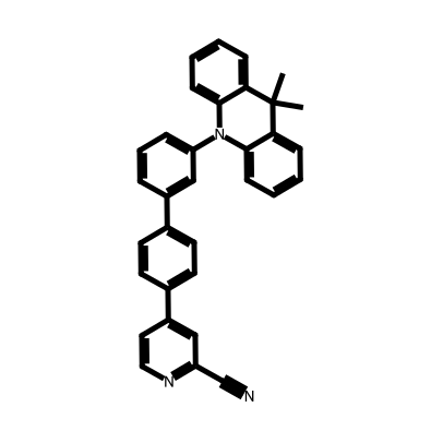 CC1(C)c2ccccc2N(c2cccc(-c3ccc(-c4ccnc(C#N)c4)cc3)c2)c2ccccc21